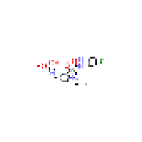 Cn1cc(C(=O)NCc2ccc(Cl)cc2)c(=O)c2cc(CN3CC(O)(O)C3)ccc21